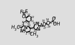 Cc1cc2nc(C)c(Cc3ccccc3OC(F)F)n2cc1-c1cnc(N2CC3(CC(C(=O)O)C3)C2)nc1